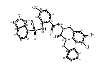 O=C(N[C@@H](Cc1ccc(Cl)c(Cl)c1)C(=O)NCc1ccccc1)c1ccc(Cl)cc1NS(=O)(=O)c1cccc2nsnc12